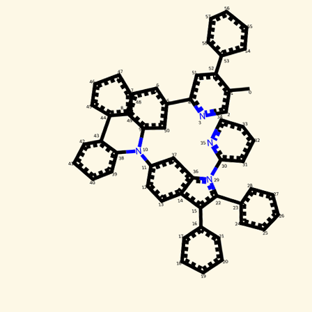 Cc1cnc(-c2cccc(N(c3ccc4c(-c5ccccc5)c(-c5ccccc5)n(-c5ccccn5)c4c3)c3ccccc3-c3ccccc3)c2)cc1-c1ccccc1